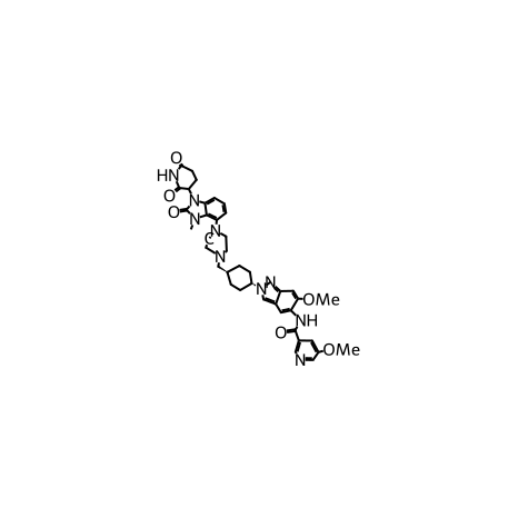 COc1cncc(C(=O)Nc2cc3cn([C@H]4CC[C@H](CN5CCN(c6cccc7c6n(C)c(=O)n7C6CCC(=O)NC6=O)CC5)CC4)nc3cc2OC)c1